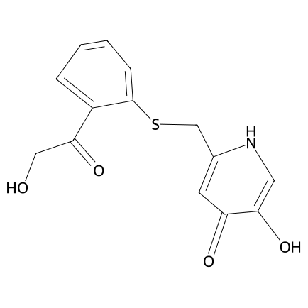 O=C(CO)c1ccccc1SCc1cc(=O)c(O)c[nH]1